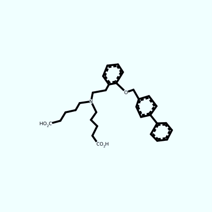 O=C(O)CCCCN(CCCCC(=O)O)CCc1ccccc1OCc1ccc(-c2ccccc2)cc1